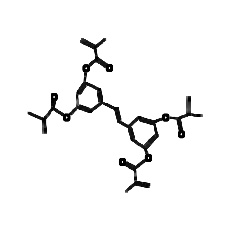 C=C(C)C(=O)Oc1cc(/C=C/c2cc(OC(=O)C(=C)C)cc(OC(=O)C(=C)C)c2)cc(OC(=O)C(=C)C)c1